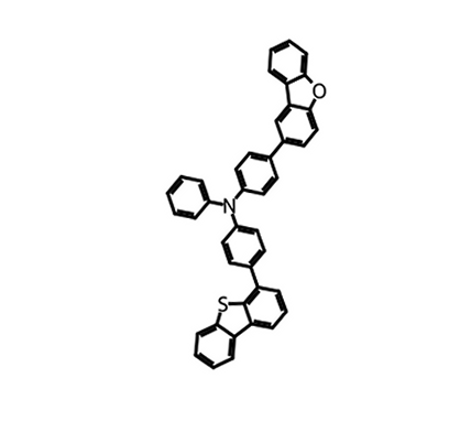 c1ccc(N(c2ccc(-c3ccc4oc5ccccc5c4c3)cc2)c2ccc(-c3cccc4c3sc3ccccc34)cc2)cc1